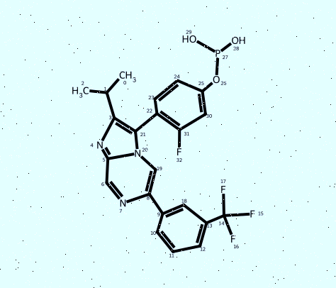 CC(C)c1nc2cnc(-c3cccc(C(F)(F)F)c3)cn2c1-c1ccc(OP(O)O)cc1F